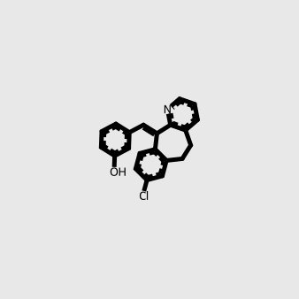 Oc1cccc(/C=C2\c3ccc(Cl)cc3CCc3cccnc32)c1